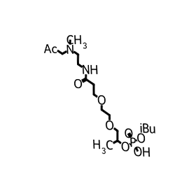 CCC(C)OP(=O)(O)OC(C)COCCOCCC(=O)NCCN(C)CC(C)=O